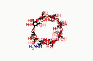 CC1OC2CC(CO)C(OC3OC(CO)C(OC4OC(CO)C(OC5OC(CO)C(OC6OC(CO)C(OC7OC(CO)C(OC8OC(CCNN)C(OC(C(O)CO)OC1CO)C(O)C8O)C(O)C7O)C(O)C6O)C(O)C5O)C(O)C4O)C(O)C3O)C(O)C2O